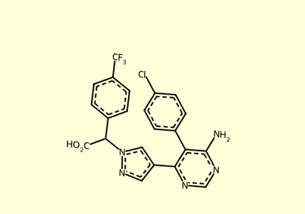 Nc1ncnc(-c2cnn(C(C(=O)O)c3ccc(C(F)(F)F)cc3)c2)c1-c1ccc(Cl)cc1